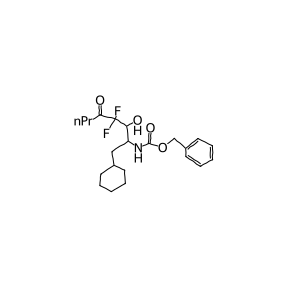 CCCC(=O)C(F)(F)C(O)C(CC1CCCCC1)NC(=O)OCc1ccccc1